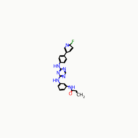 C=CC(=O)Nc1cccc(Nc2ncnc(Nc3ccc(-c4ccc(F)nc4)cc3)n2)c1